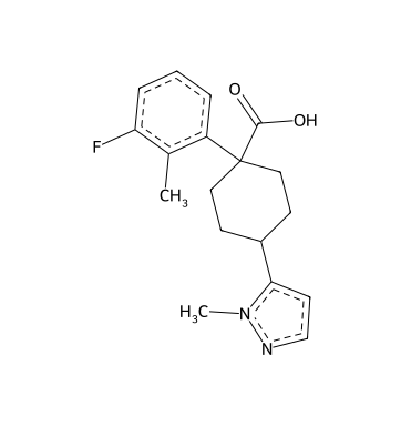 Cc1c(F)cccc1C1(C(=O)O)CCC(c2ccnn2C)CC1